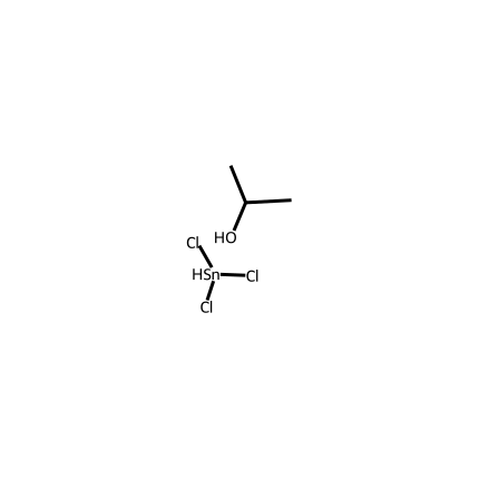 CC(C)O.[Cl][SnH]([Cl])[Cl]